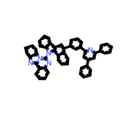 c1ccc(-c2cc(-c3ccccc3)nc(-c3cccc(-c4cc5c6ccccc6n(-c6nc7ccccc7c7nc8ccccc8n67)c5c5ccccc45)c3)c2)cc1